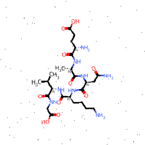 CC(C)[C@H](NC(=O)[C@H](CCCCN)NC(=O)[C@H](CC(N)=O)NC(=O)[C@H](C)NC(=O)[C@@H](N)CCC(=O)O)C(=O)NCC(=O)O